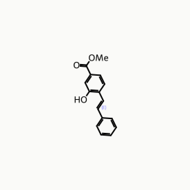 COC(=O)c1ccc(/C=C/c2ccccc2)c(O)c1